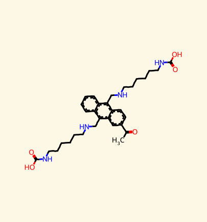 CC(=O)c1ccc2c(CNCCCCCCNC(=O)O)c3ccccc3c(CNCCCCCCNC(=O)O)c2c1